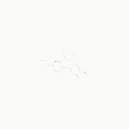 C=C(C)C1=CN2C(=CC1=C)c1cc(CC)c(CCC(F)(F)F)cc1C1CCC(C)(C)C12